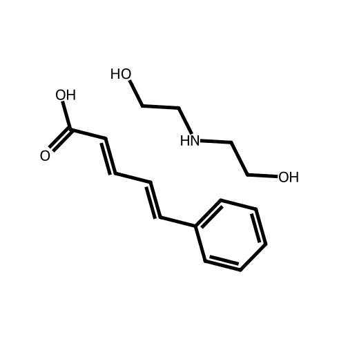 O=C(O)C=CC=Cc1ccccc1.OCCNCCO